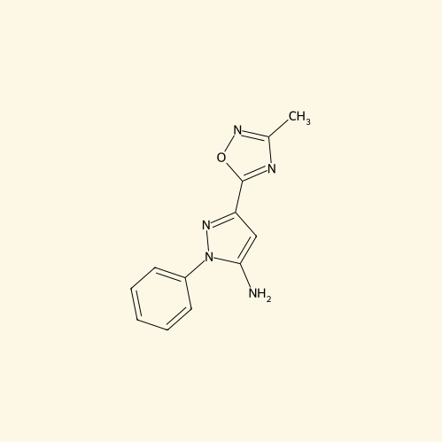 Cc1noc(-c2cc(N)n(-c3ccccc3)n2)n1